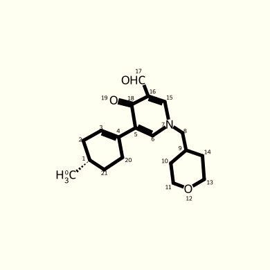 C[C@@H]1CC=C(c2cn(CC3CCOCC3)cc(C=O)c2=O)CC1